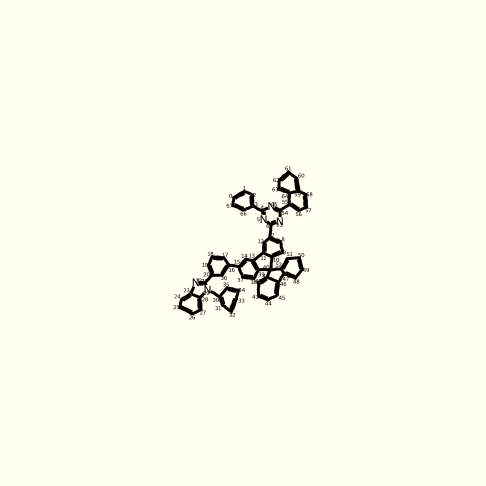 c1ccc(-c2nc(-c3ccc4c(c3)-c3cc(-c5cccc(-c6nc7ccccc7n6-c6ccccc6)c5)ccc3C43c4ccccc4-c4ccccc43)nc(-c3cccc4ccccc34)n2)cc1